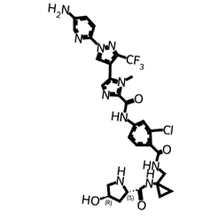 Cn1c(-c2cn(-c3ccc(N)cn3)nc2C(F)(F)F)cnc1C(=O)Nc1ccc(C(=O)NCC2(NC(=O)[C@@H]3C[C@@H](O)CN3)CC2)c(Cl)c1